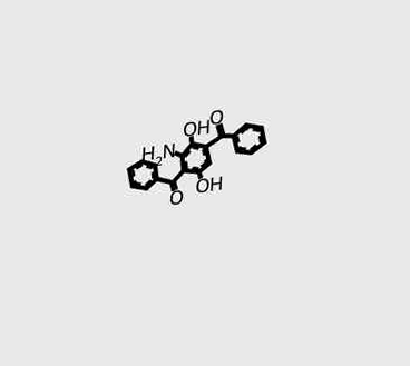 Nc1c(O)c(C(=O)c2ccccc2)cc(O)c1C(=O)c1ccccc1